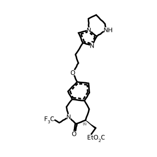 CCOC(=O)C[C@@H]1Cc2ccc(OCCc3cn4c(n3)NCCC4)cc2CN(CC(F)(F)F)C1=O